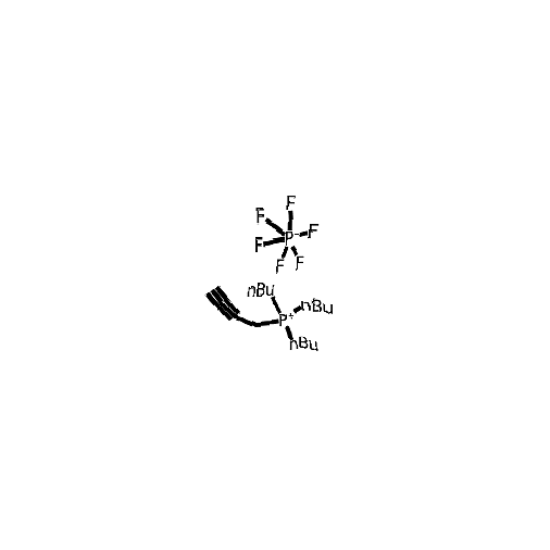 C#CC[P+](CCCC)(CCCC)CCCC.F[P-](F)(F)(F)(F)F